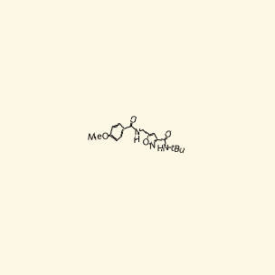 COc1ccc(C(=O)NCc2cc(C(=O)NC(C)(C)C)no2)cc1